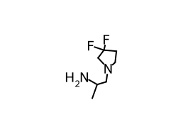 CC(N)CN1CCC(F)(F)C1